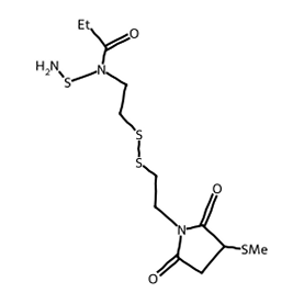 CCC(=O)N(CCSSCCN1C(=O)CC(SC)C1=O)SN